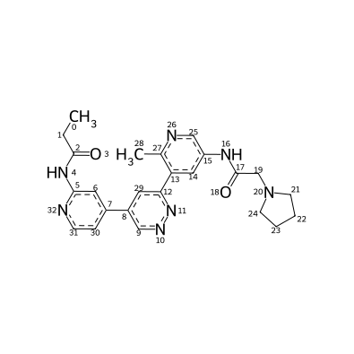 CCC(=O)Nc1cc(-c2cnnc(-c3cc(NC(=O)CN4CCCC4)cnc3C)c2)ccn1